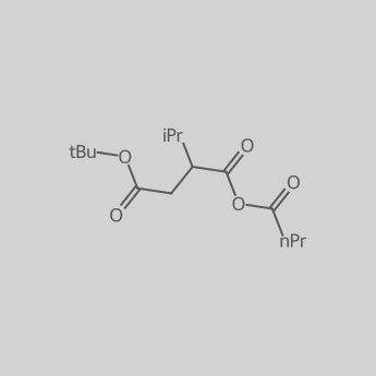 CCCC(=O)OC(=O)C(CC(=O)OC(C)(C)C)C(C)C